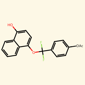 CC(=O)Oc1ccc(C(F)(F)Oc2ccc(O)c3ccccc23)cc1